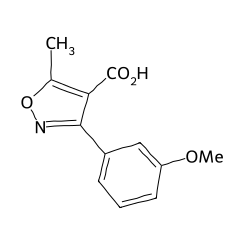 COc1cccc(-c2noc(C)c2C(=O)O)c1